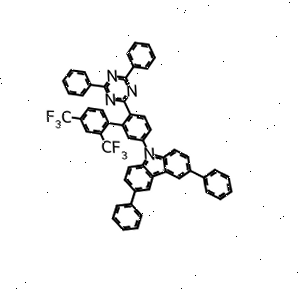 FC(F)(F)c1ccc(-c2cc(-n3c4ccc(-c5ccccc5)cc4c4cc(-c5ccccc5)ccc43)ccc2-c2nc(-c3ccccc3)nc(-c3ccccc3)n2)c(C(F)(F)F)c1